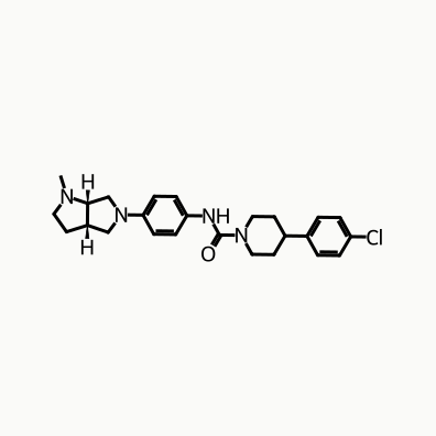 CN1CC[C@H]2CN(c3ccc(NC(=O)N4CCC(c5ccc(Cl)cc5)CC4)cc3)C[C@H]21